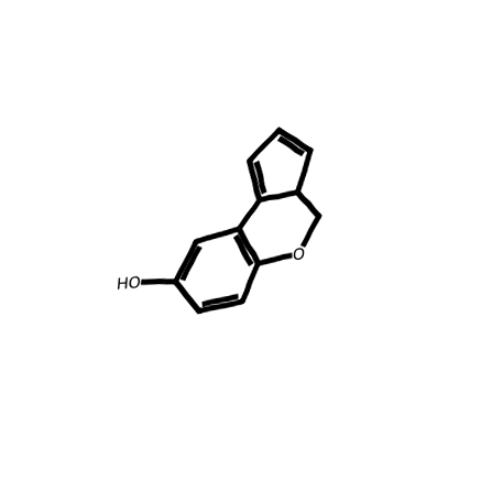 Oc1ccc2c(c1)C1=CC=CC1CO2